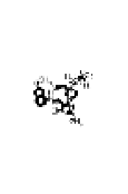 COC1Cc2cccc(N/N=C/c3c(Cl)nc(SC)nc3N3CCN(C(=O)OC(C)(C)C)C(CC#N)C3)c2C1